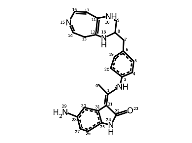 CC(Nc1ccc(CC2CNC3=C(CC=NC=C3)N2)cc1)=C1C(=O)Nc2ccc(N)cc21